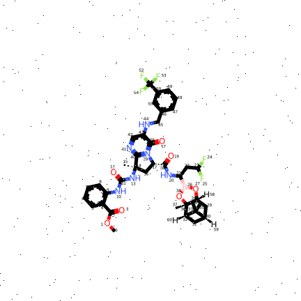 COC(=O)c1ccccc1NC(=O)N[C@]1(C)C[C@@H](C(=O)NC(CC(F)F)B2O[C@@H]3C[C@@H]4C[C@@H](C4(C)C)[C@]3(C)O2)n2c1ncc(NCc1cccc(C(F)(F)F)c1)c2=O